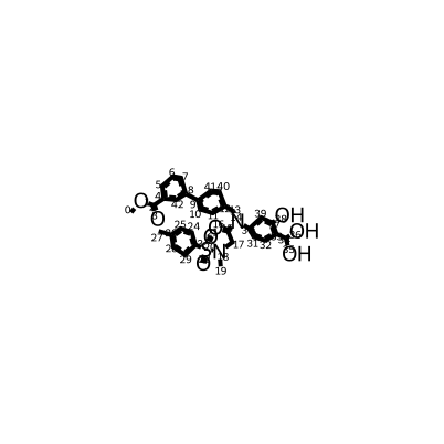 COC(=O)c1cccc(-c2ccc(CN(C(=O)CN(C)S(=O)(=O)c3ccc(C)cc3)c3ccc(C(O)O)c(O)c3)cc2)c1